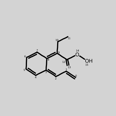 C=C/C=c1/cccc/c1=C(\CC)C(=C)OO